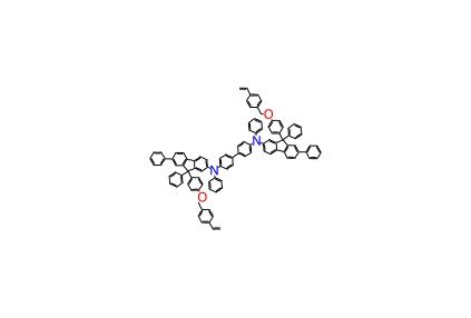 C=Cc1ccc(COc2ccc(C3(c4ccccc4)c4cc(-c5ccccc5)ccc4-c4ccc(N(c5ccccc5)c5ccc(-c6ccc(N(c7ccccc7)c7ccc8c(c7)C(c7ccccc7)(c7ccc(OCc9ccc(C=C)cc9)cc7)c7cc(-c9ccccc9)ccc7-8)cc6)cc5)cc43)cc2)cc1